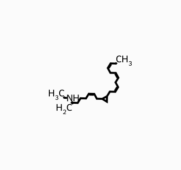 C=C(CCC/C=C\CC1CC1C/C=C\C/C=C\C/C=C\CC)NCC